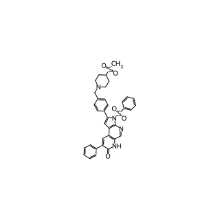 CS(=O)(=O)C1CCN(Cc2ccc(-c3cc4c5cc(-c6ccccc6)c(=O)[nH]c5cnc4n3S(=O)(=O)c3ccccc3)cc2)CC1